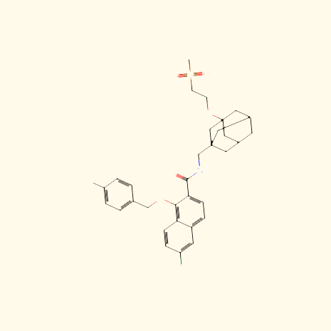 CS(=O)(=O)CCOC12CC3CC(C1)CC([C@H](NC(=O)c1ccc4cc(F)ccc4c1OCc1ccc(C(F)(F)F)cc1)C(=O)O)(C3)C2